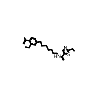 C=C(NCCCCCCCc1ccc(C(=C)C)c(CC)c1)c1cnc(CC)s1